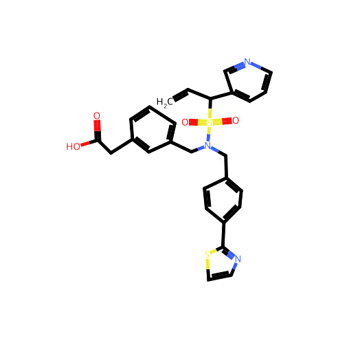 C=CC(c1cccnc1)S(=O)(=O)N(Cc1ccc(-c2nccs2)cc1)Cc1cccc(CC(=O)O)c1